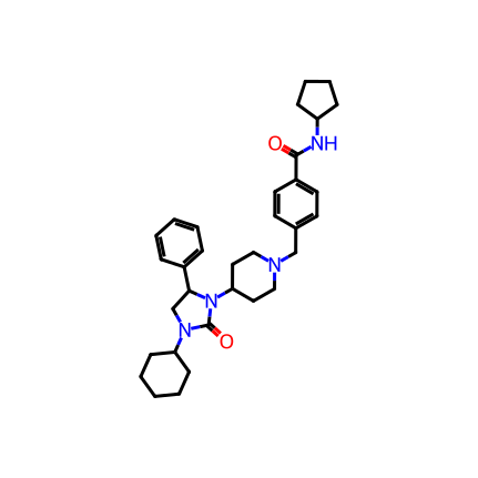 O=C(NC1CCCC1)c1ccc(CN2CCC(N3C(=O)N(C4CCCCC4)CC3c3ccccc3)CC2)cc1